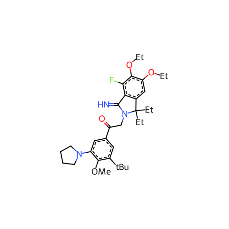 CCOc1cc2c(c(F)c1OCC)C(=N)N(CC(=O)c1cc(N3CCCC3)c(OC)c(C(C)(C)C)c1)C2(CC)CC